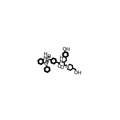 O=C(NC(Cc1ccc(O)cc1)C(=O)N1CCC(CO)CC1)c1ccc(S(=O)(=O)Nc2ccccc2Oc2ccccc2)cc1